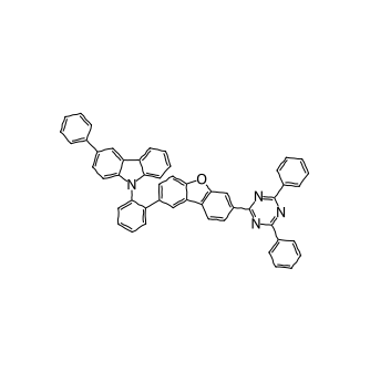 c1ccc(-c2ccc3c(c2)c2ccccc2n3-c2ccccc2-c2ccc3oc4cc(-c5nc(-c6ccccc6)nc(-c6ccccc6)n5)ccc4c3c2)cc1